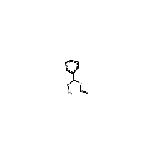 NNC(OC=O)c1ccccc1